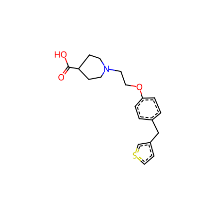 O=C(O)C1CCN(CCOc2ccc(Cc3ccsc3)cc2)CC1